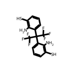 Nc1c(S)cccc1C(c1cccc(S)c1N)(C(F)(F)F)C(F)(F)F